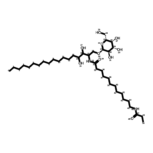 CCCCCCCCCCCCCCC(O)C(O)C(CO[C@H]1O[C@H](CO)[C@H](O)[C@H](O)[C@H]1O)NC(=O)CCCCCCCCCCCNC(=O)CC